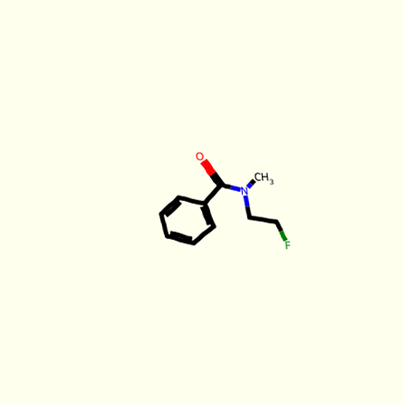 CN(CCF)C(=O)c1ccccc1